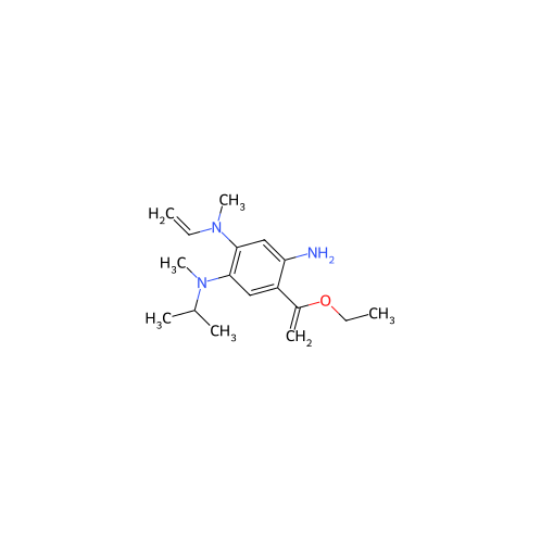 C=CN(C)c1cc(N)c(C(=C)OCC)cc1N(C)C(C)C